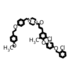 COc1ccc(CCOc2ccc(CN3CCN(C(=O)/C=C/c4cc(C)c(Oc5ccc(OCc6ccccc6Cl)cn5)c(Cl)c4)CC3)cc2)cc1